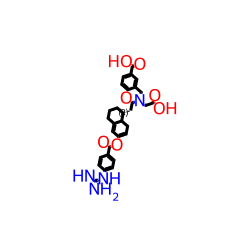 N=C(N)Nc1ccc(C(=O)OC2=CCC3C(=C2)CCC[C@@H]3CC(=O)N(CC(=O)O)Cc2cccc(C(=O)O)c2)cc1